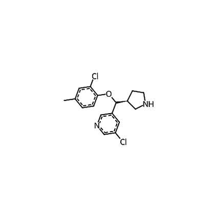 Cc1ccc(OC(c2cncc(Cl)c2)[C@H]2CCNC2)c(Cl)c1